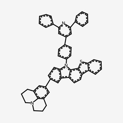 c1ccc(-c2cc(-c3ccc(-n4c5ccc(-c6cc7c8c(c6)CCCN8CCC7)cc5c5ccc6c7ccccc7sc6c54)cc3)cc(-c3ccccc3)n2)cc1